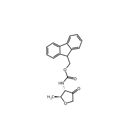 C[C@@H]1OCC(=O)[C@H]1NC(=O)OCC1c2ccccc2-c2ccccc21